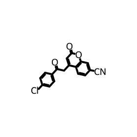 N#Cc1ccc2c(CC(=O)c3ccc(Cl)cc3)cc(=O)oc2c1